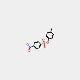 Cc1ccc(OS(=O)(=O)c2ccc([N+](=O)[O-])cc2)cc1